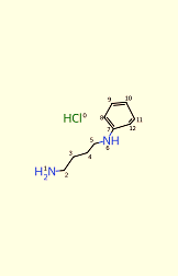 Cl.NCCCCNc1ccccc1